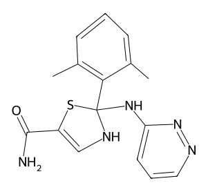 Cc1cccc(C)c1C1(Nc2cccnn2)NC=C(C(N)=O)S1